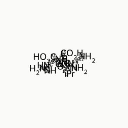 CC(C)C[C@H](NC(=O)[C@@H](N)CCCCN)C(=O)N[C@@H](CCC(=O)O)C(=O)N[C@@H](CCCNC(=N)N)C(=O)O